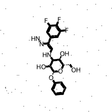 N=N/C(=C\NC1C(O)[C@@H](Oc2ccccc2)O[C@@H](CO)[C@@H]1O)c1cc(F)c(F)c(F)c1